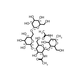 CC(=O)N[C@H]1C(O)[C@H](O[C@@H]2OC(CO[C@H]3OC(CO)[C@@H](O)C(O)[C@H]3O)[C@@H](O)C(O)[C@H]2O)C(CO)O[C@H]1O[C@@H]1C(CO)O[C@@H](C)[C@@H](NC(C)=O)C1O